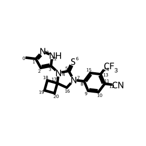 Cc1cc(N2C(=S)N(c3ccc(C#N)c(C(F)(F)F)c3)CC23CCC3)[nH]n1